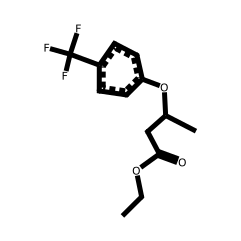 CCOC(=O)CC(C)Oc1ccc(C(F)(F)F)cc1